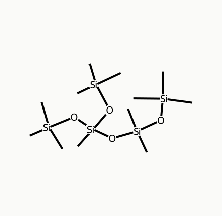 C[Si](C)(C)O[Si](C)(C)O[Si](C)(O[Si](C)(C)C)O[Si](C)(C)C